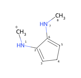 CNC1=CCC=C1NC